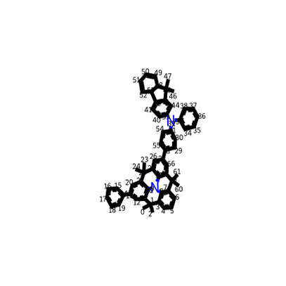 CC1(C)c2cccc3c2N2c4c1cc(-c1ccccc1)cc4C(C)(C)c1cc(-c4ccc(N(c5ccccc5)c5ccc6c(c5)C(C)(C)C5C=CC=CC65)cc4)cc(c12)C3(C)C